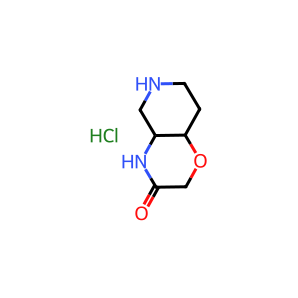 Cl.O=C1COC2CCNCC2N1